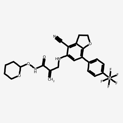 C=C(CNc1cc(-c2ccc(S(F)(F)(F)(F)F)cc2)c2c(c1C#N)CCO2)C(=O)NOC1CCCCO1